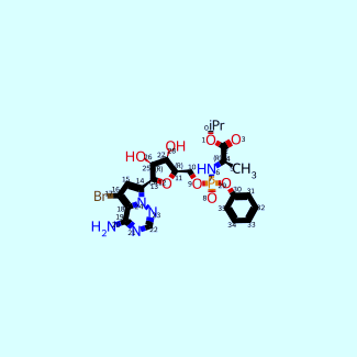 CC(C)OC(=O)[C@@H](C)NP(=O)(OC[C@H]1O[C@@H](c2cc(Br)c3c(N)ncnn23)[C@H](O)[C@@H]1O)Oc1ccccc1